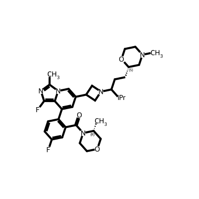 Cc1nc(F)c2c(-c3ccc(F)cc3C(=O)N3CCOC[C@H]3C)cc(C3CN(C(CC[C@H]4CN(C)CCO4)C(C)C)C3)cn12